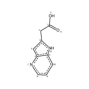 O=C(O)Cc1cc2ncccc2[nH]1